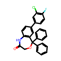 O=C1COC(c2ccccc2)(c2ccccc2)c2cc(-c3ccc(F)c(Cl)c3)ccc2N1